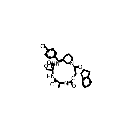 CC1NC(=O)CC([C@@H]2CCc3ccccc32)C(=O)N2CCCC(Cc3ccc(Cl)cc3)(C2)NC(=O)C(CO)NC1=O